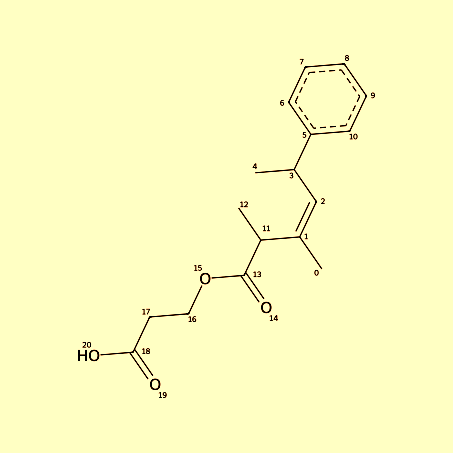 CC(=CC(C)c1ccccc1)C(C)C(=O)OCCC(=O)O